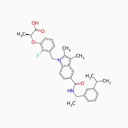 Cc1c(C)n(Cc2cccc(O[C@@H](C)C(=O)O)c2F)c2ccc(C(=O)N[C@@H](C)c3cccc(C(C)C)c3)cc12